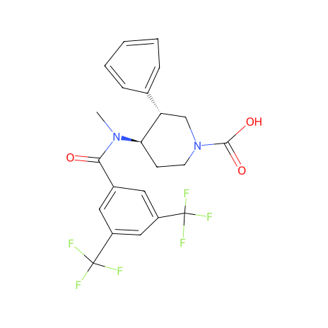 CN(C(=O)c1cc(C(F)(F)F)cc(C(F)(F)F)c1)[C@@H]1CCN(C(=O)O)C[C@H]1c1ccccc1